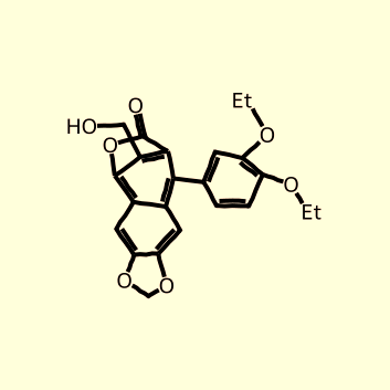 CCOc1ccc(-c2c3c(CO)c(c4cc5c(cc24)OCO5)OC3=O)cc1OCC